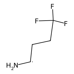 N[CH]CCC(F)(F)F